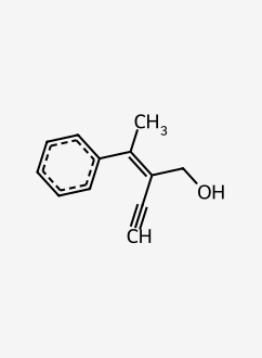 C#C/C(CO)=C(/C)c1ccccc1